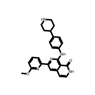 COc1cccc(-c2cc3cc[nH]c(=O)c3c(Nc3ccc(C4CCNCC4)cc3)n2)n1